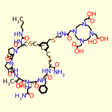 CCCCNC(=O)N[C@H]1CSCc2cc(CSCCNC(=O)CN3CCN(CC(=O)O)CCN(CC(O)O)CCN(CC(=O)O)CC3)cc(c2)CSC[C@@H](C(N)=O)NC(=O)[C@H](Cc2ccccc2)NC(=O)[C@H](CCC(N)=O)NC(=O)[C@H]([C@@H](C)O)NC(=O)[C@@H]2CCCN2C(=O)[C@@H]2CCCN2C1=O